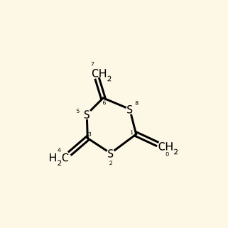 C=C1SC(=C)SC(=C)S1